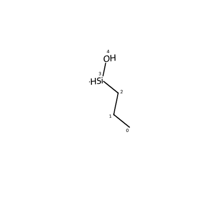 CCC[SiH]O